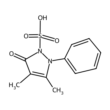 Cc1c(C)n(-c2ccccc2)n(S(=O)(=O)O)c1=O